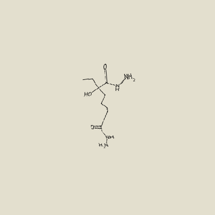 CCC(O)(CCCC(=O)NN)C(=O)NN